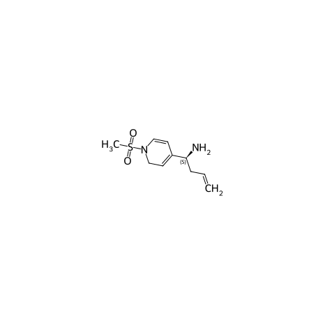 C=CC[C@H](N)C1=CCN(S(C)(=O)=O)C=C1